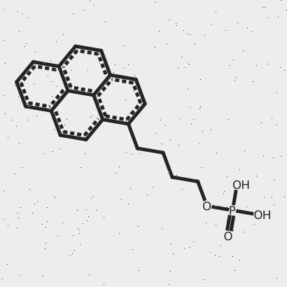 O=P(O)(O)OCCCCc1ccc2ccc3cccc4ccc1c2c34